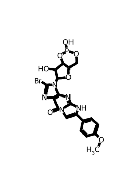 COc1ccc(-c2cn3c(=O)c4nc(Br)n(C5OC6COP(O)OC6C5O)c4nc3[nH]2)cc1